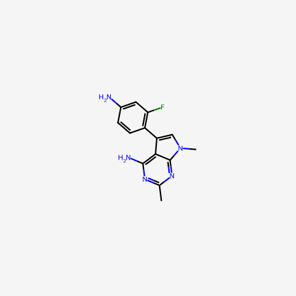 Cc1nc(N)c2c(-c3ccc(N)cc3F)cn(C)c2n1